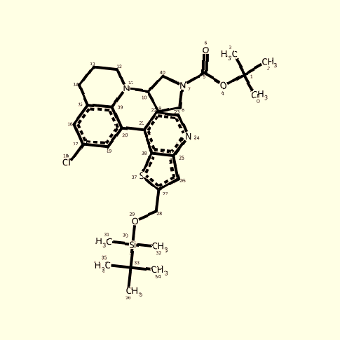 CC(C)(C)OC(=O)N1CCC(N2CCCc3cc(Cl)cc(-c4ccnc5cc(CO[Si](C)(C)C(C)(C)C)sc45)c32)C1